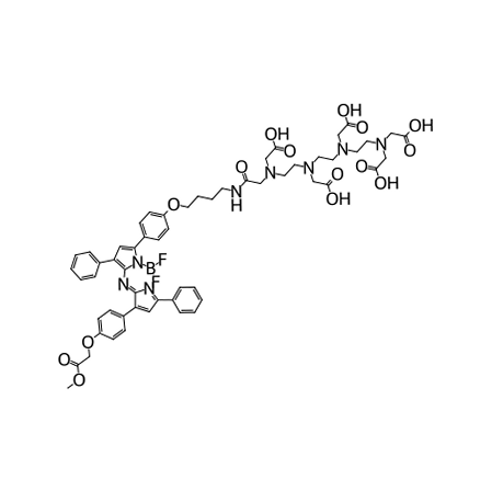 COC(=O)COc1ccc(C2=CC(c3ccccc3)=N/C2=N\c2c(-c3ccccc3)cc(-c3ccc(OCCCCNC(=O)CN(CCN(CCN(CCN(CC(=O)O)CC(=O)O)CC(=O)O)CC(=O)O)CC(=O)O)cc3)n2B(F)F)cc1